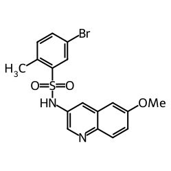 COc1ccc2ncc(NS(=O)(=O)c3cc(Br)ccc3C)cc2c1